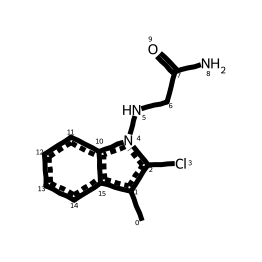 Cc1c(Cl)n(NCC(N)=O)c2ccccc12